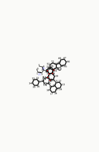 C/C=C\C(=C/C)n1c2ccc(-c3cccc4cccc(-c5nc(-c6ccccc6)nc(-c6ccccc6)n5)c34)cc2c2c3oc4ccccc4c3ccc21